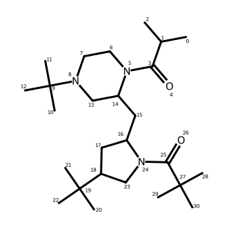 CC(C)C(=O)N1CCN(C(C)(C)C)CC1CC1CC(C(C)(C)C)CN1C(=O)C(C)(C)C